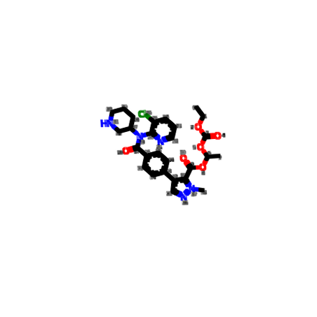 CCOC(=O)OC(C)OC(=O)c1c(-c2ccc(C(=O)N(c3ncccc3Cl)C3CCCNC3)cc2)cnn1C